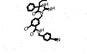 CC(C)CC1(c2ccccc2)NC(=N)N(Cc2ccc(Cl)c(C(=O)NCc3ccc(C#N)cc3)c2)C1=O